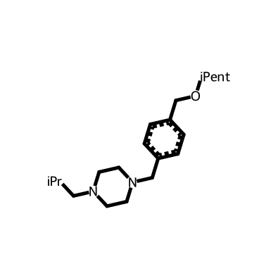 CCCC(C)OCc1ccc(CN2CCN(CC(C)C)CC2)cc1